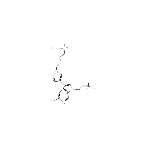 CC(C)(O)CCn1cc(-c2cnn(COCC[Si](C)(C)C)c2)c2cc(Br)ncc21